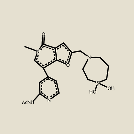 CC(=O)Nc1cc(-c2cn(C)c(=O)c3cc(CN4CCCS(O)(O)CC4)oc23)ccn1